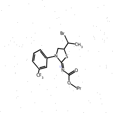 CC(C)OC(=O)/N=C1\SC(C(C)Br)CN1c1cccc(C(F)(F)F)c1